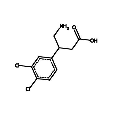 NCC(CC(=O)O)c1ccc(Cl)c(Cl)c1